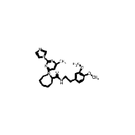 COc1ccc(CCNC(=O)C2CCCCCN2c2cc(C)nc(-n3ccnc3)n2)cc1OC